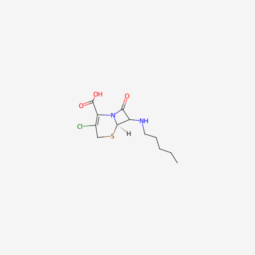 CCCCCNC1C(=O)N2C(C(=O)O)=C(Cl)CS[C@H]12